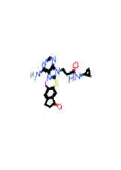 Nc1ncnc2c1nc(Sc1cc3c(cc1I)CCC3=O)n2CCC(=O)NC1CC1